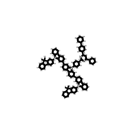 CC1(C)c2ccccc2-c2ccc(-n3c4ccccc4c4ccc(-c5ccc6c7ccc(-c8ccc9c%10ccccc%10n(-c%10ccc%11c(c%10)C(C)(C)c%10ccccc%10-%11)c9c8)cc7n(-c7ccc(-c8nc(-c9ccccc9)cc(-c9ccc(-c%10ccccc%10)cc9)n8)cc7)c6c5)cc43)cc21